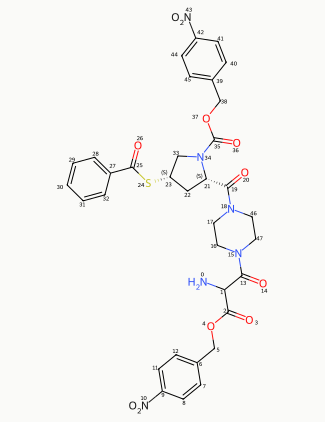 NC(C(=O)OCc1ccc([N+](=O)[O-])cc1)C(=O)N1CCN(C(=O)[C@@H]2C[C@H](SC(=O)c3ccccc3)CN2C(=O)OCc2ccc([N+](=O)[O-])cc2)CC1